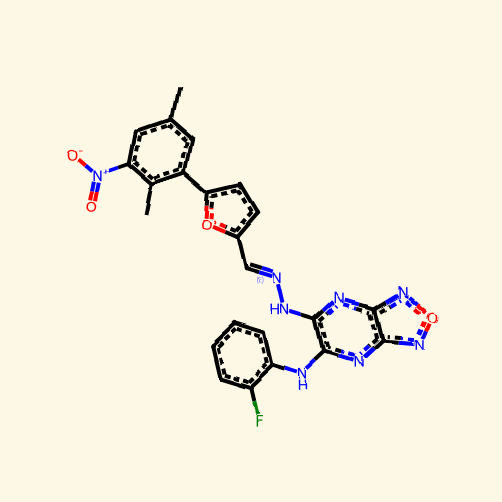 Cc1cc(-c2ccc(/C=N/Nc3nc4nonc4nc3Nc3ccccc3F)o2)c(C)c([N+](=O)[O-])c1